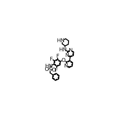 O=S(=O)(Cc1ccccc1)Nc1c(F)cc(Oc2ncccc2-c2ccnc(NC3CCCNC3)n2)c(F)c1F